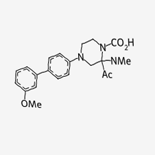 CNC1(C(C)=O)CN(c2ccc(-c3cccc(OC)c3)cc2)CCN1C(=O)O